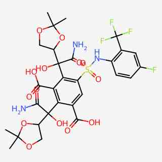 CC1(C)OCC(C(O)(C(N)=O)c2c(C(=O)O)cc(S(=O)(=O)Nc3ccc(F)cc3C(F)(F)F)c(C(O)(C(N)=O)C3COC(C)(C)O3)c2C(=O)O)O1